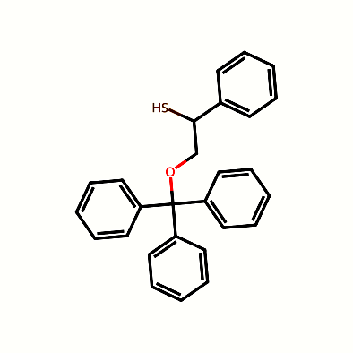 SC(COC(c1ccccc1)(c1ccccc1)c1ccccc1)c1ccccc1